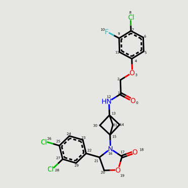 O=C(COc1ccc(Cl)c(F)c1)NC12CC(N3C(=O)OCC3c3ccc(Cl)c(Cl)c3)(C1)C2